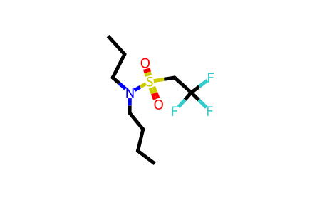 CCCCN(CCC)S(=O)(=O)CC(F)(F)F